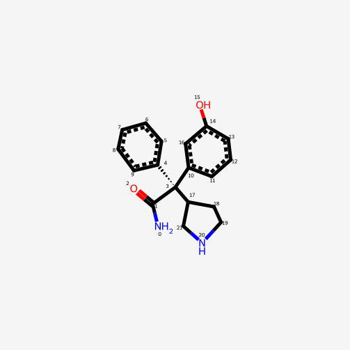 NC(=O)[C@@](c1ccccc1)(c1cccc(O)c1)C1CCNC1